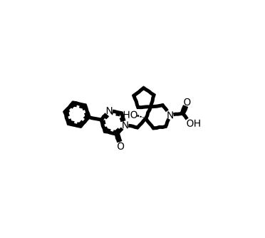 O=C(O)N1CC[C@@](O)(Cn2cnc(-c3ccccc3)cc2=O)C2(CCCC2)C1